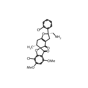 COc1cc(OC)c2c(c1Cl)O[C@@]1(C(=O)C3=C(C[C@H]1C)O[C@@](CN)(c1ccccc1Cl)C3)C2=O